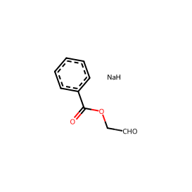 O=CCOC(=O)c1ccccc1.[NaH]